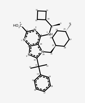 C[C@@H](Nc1nc(C(=O)O)nc2nc(C(C)(C)c3ccccc3)n(C[C@H]3CC[C@H](C)CC3)c12)C1CCC1